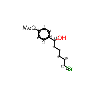 COc1ccc(C(O)CCCCCBr)cc1